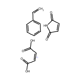 C=Cc1ccccc1.O=C(O)/C=C\C(=O)O.O=C1C=CC(=O)N1